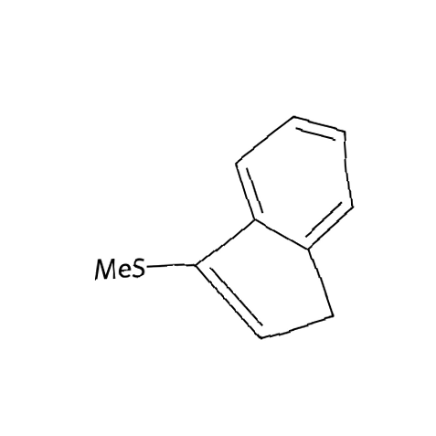 CSC1=CCc2ccccc21